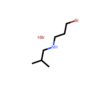 Br.CC(C)CNCCCBr